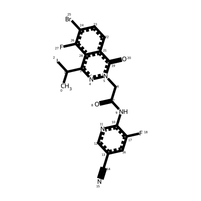 CC(I)c1nn(CC(=O)Nc2ncc(C#N)cc2F)c(=O)c2ccc(Br)c(F)c12